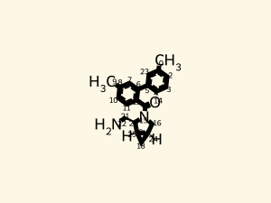 Cc1cccc(-c2cc(C)ccc2C(=O)N2C[C@H]3C[C@H]3[C@H]2CN)c1